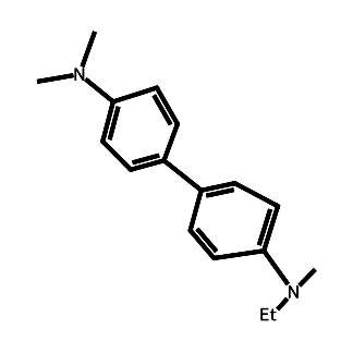 CCN(C)c1ccc(-c2ccc(N(C)C)cc2)cc1